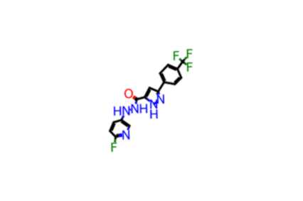 O=C(NNc1ccc(F)nc1)c1cc(-c2ccc(C(F)(F)F)cc2)n[nH]1